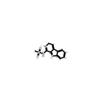 CS(=O)(=O)NC1=NCC=C2C1=Nc1ccccc12